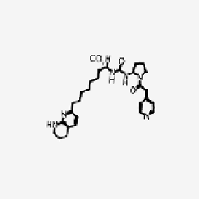 O=C(NC(CCCCCCCc1ccc2c(n1)NCCC2)C(=O)O)NC1CCCN1C(=O)Cc1ccncc1